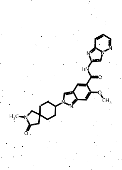 COc1cc2nn(C3CCC4(CC3)CC(=O)N(C)C4)cc2cc1C(=O)Nc1cn2ncccc2n1